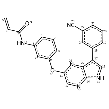 C=CC(=O)Nc1cccc(Oc2cnc3[nH]cc(-c4cccc(C#N)c4)c3n2)c1